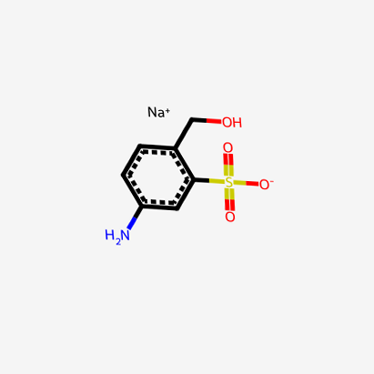 Nc1ccc(CO)c(S(=O)(=O)[O-])c1.[Na+]